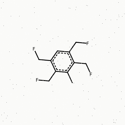 [CH2]c1c(CF)c(CF)cc(CF)c1CF